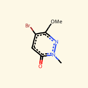 COc1nn(C)c(=O)cc1Br